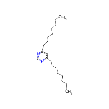 CCCCCCCCc1cc(CCCCCCCC)n[c]n1